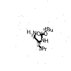 CC(C)C[C@H](CN)NC(=O)OC(C)(C)C